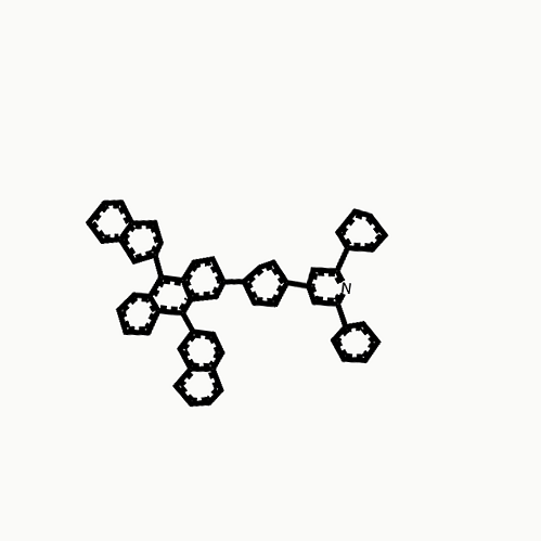 c1ccc(-c2cc(-c3ccc(-c4ccc5c(-c6ccc7ccccc7c6)c6ccccc6c(-c6ccc7ccccc7c6)c5c4)cc3)cc(-c3ccccc3)n2)cc1